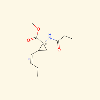 CC/C=C\C1C[C@]1(NC(=O)CC)C(=O)OC